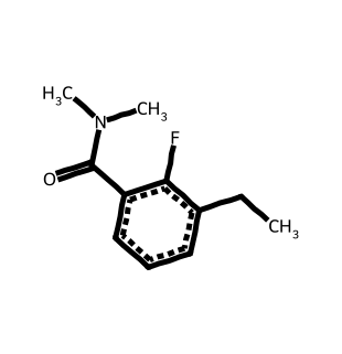 CCc1cccc(C(=O)N(C)C)c1F